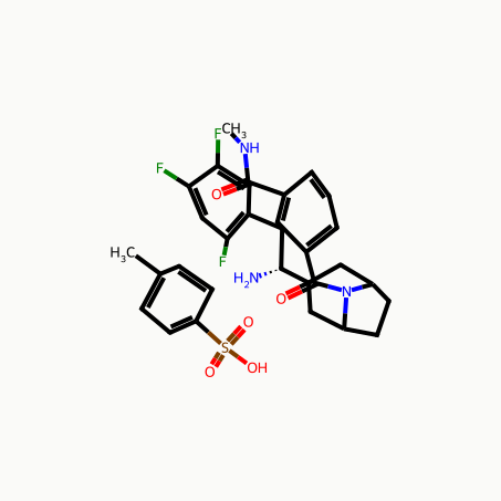 CNC(=O)c1cccc(C(=O)N2C3CCC2CC([C@H](N)Cc2cc(F)c(F)cc2F)C3)c1.Cc1ccc(S(=O)(=O)O)cc1